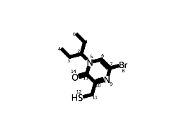 CCC(CC)n1cc(Br)nc(CS)c1=O